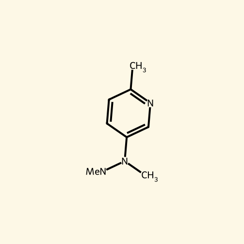 CNN(C)c1ccc(C)nc1